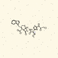 CO/N=C(\C(=O)N[C@@H]1C(=O)N2C(C(=O)[O-])=C(Cn3cc[n+]4ccccc34)CS[C@@H]12)c1csc(NC(=O)CCl)n1